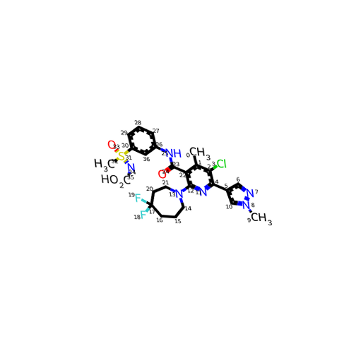 Cc1c(Cl)c(-c2cnn(C)c2)nc(N2CCCC(F)(F)CC2)c1C(=O)Nc1cccc(S(C)(=O)=NC(=O)O)c1